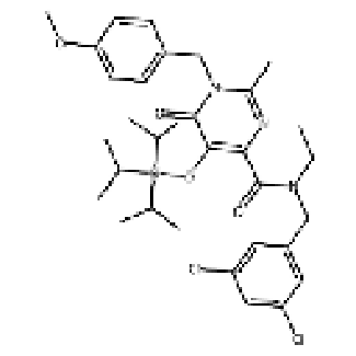 CCN(Cc1cc(Cl)cc(Cl)c1)C(=O)c1nc(C)n(Cc2ccc(OC)cc2)c(=O)c1O[Si](C(C)C)(C(C)C)C(C)C